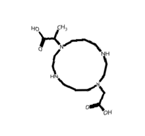 CC(C(=O)O)N1CCCNCCN(CC(=O)O)CCCNCC1